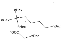 CCCCCCCCCCCC(=O)[O-].CCCCCCCCCCCCCC[P+](CCCCCC)(CCCCCC)CCCCCC